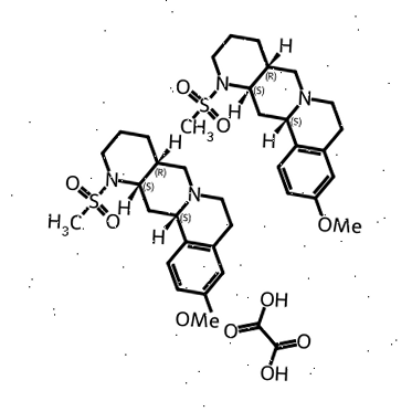 COc1ccc2c(c1)CCN1C[C@H]3CCCN(S(C)(=O)=O)[C@H]3C[C@@H]21.COc1ccc2c(c1)CCN1C[C@H]3CCCN(S(C)(=O)=O)[C@H]3C[C@@H]21.O=C(O)C(=O)O